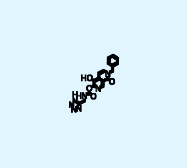 O=C(NCc1nnn[nH]1)Oc1ncc2c(=O)n(Cc3ccccc3)ccc2c1O